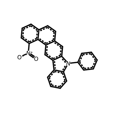 O=[N+]([O-])c1cccc2ccc3cc4c(cc3c12)c1ccccc1n4-c1ccccc1